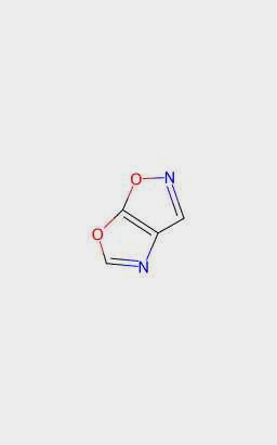 c1nc2cnoc2o1